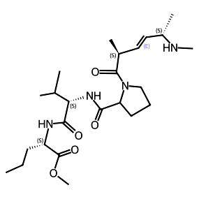 CCC[C@H](NC(=O)[C@@H](NC(=O)C1CCCN1C(=O)[C@@H](C)/C=C/[C@H](C)NC)C(C)C)C(=O)OC